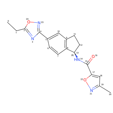 CCc1nc(-c2ccc3c(c2)CC[C@H]3NC(=O)c2cc(C)no2)no1